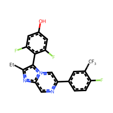 CCc1nc2cnc(-c3ccc(F)c(C(F)(F)F)c3)cn2c1-c1c(F)cc(O)cc1F